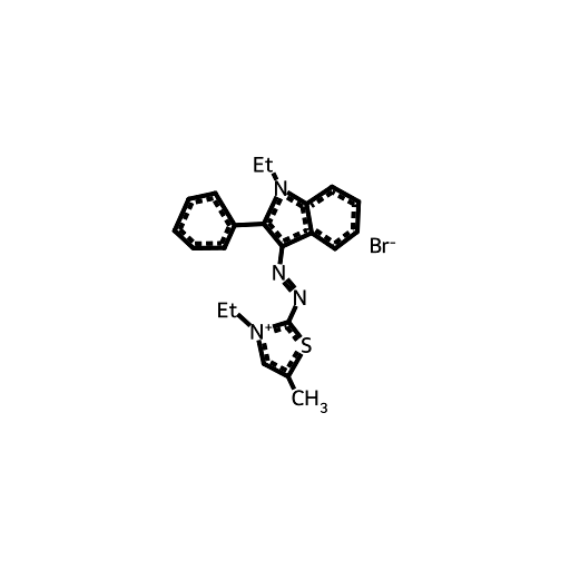 CCn1c(-c2ccccc2)c(N=Nc2sc(C)c[n+]2CC)c2ccccc21.[Br-]